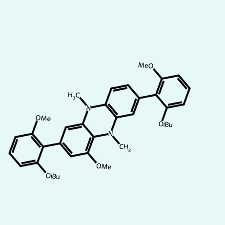 COc1cccc(OCC(C)C)c1-c1ccc2c(c1)N(C)c1c(OC)cc(-c3c(OC)cccc3OCC(C)C)cc1N2C